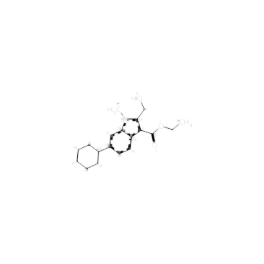 CCOC(=O)c1c(CO)n(C)c2cc(C3CCCCC3)ccc12